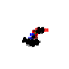 CC(C)(O)c1coc(S(=O)(=O)NC(=O)Nc2c(C(C)(C)C3CC3)ccc3c2CCC3)c1